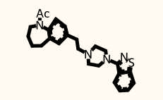 CC(=O)N1CCCCc2cc(CCN3CCN(c4nsc5ccccc45)CC3)ccc21